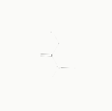 [CH2]CN(C[CH2])C(=O)CBr